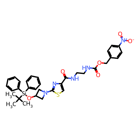 CC(C)(C)[Si](OC1CN(c2nc(C(=O)NCCNC(=O)OCc3ccc([N+](=O)[O-])cc3)cs2)C1)(c1ccccc1)c1ccccc1